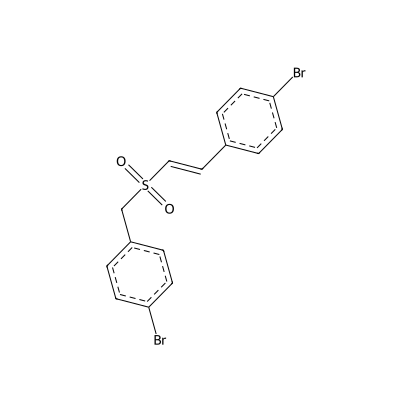 O=S(=O)(C=Cc1ccc(Br)cc1)Cc1ccc(Br)cc1